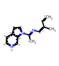 C=C/C(C)=C\N=C(/C)n1ccc2ccncc21